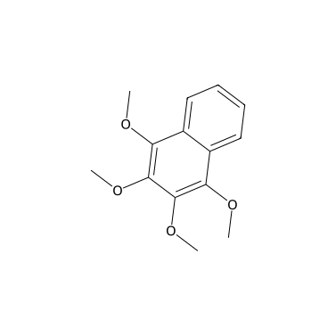 COc1c(OC)c(OC)c2ccccc2c1OC